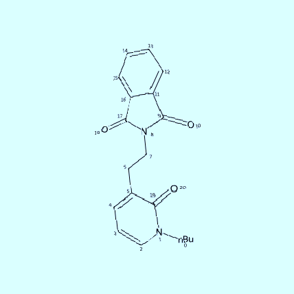 CCCCn1cccc(CCN2C(=O)c3ccccc3C2=O)c1=O